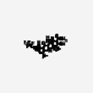 CN(C)c1cc(CNCC(F)(F)C(F)(F)F)c(O)c2c1C[C@H]1C[C@H]3[C@H](N(C)C)C(O)=C(C(N)=O)C(=O)[C@@]3(O)C(O)=C1C2=O